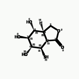 O=C1OC[C@@H]2[C@@H](O)[C@H](O)[C@@H](O)[C@H](S)N12